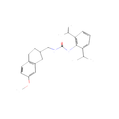 COc1ccc2c(c1)CC(CNC(=O)Nc1c(C(C)C)cccc1C(C)C)CC2